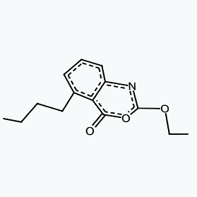 CCCCc1cccc2nc(OCC)oc(=O)c12